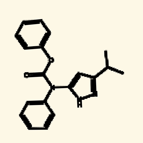 CC(C)c1cc(N(C(=O)Oc2ccccc2)c2ccccc2)[nH]n1